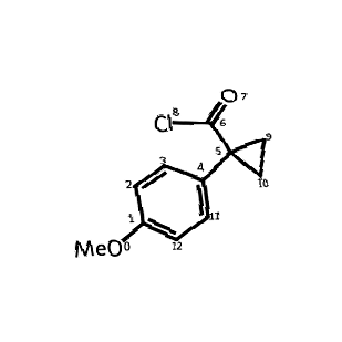 COc1ccc(C2(C(=O)Cl)CC2)cc1